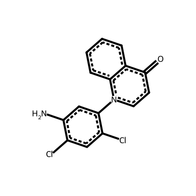 Nc1cc(-n2ccc(=O)c3ccccc32)c(Cl)cc1Cl